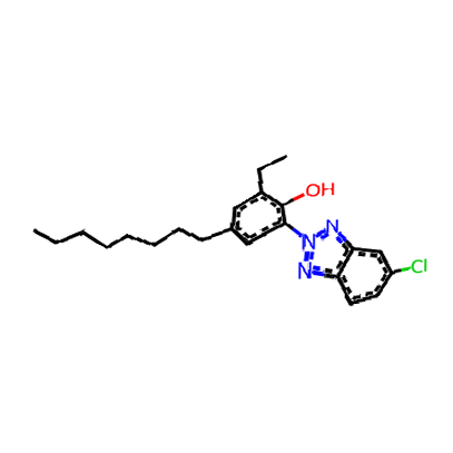 CCCCCCCCc1cc(CC)c(O)c(-n2nc3ccc(Cl)cc3n2)c1